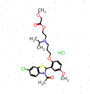 COCC(=O)OCCN(CCCOc1ccc(OC)cc1C1Sc2cc(Cl)ccc2N1C(C)=O)C(C)C.Cl